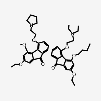 CCCCOc1cc(OCC)cc2c1-c1c(OCCN(CC)CC)cccc1C2=O.CCOc1cc(OC)c2c(c1)C(=O)c1cccc(OCCN3CCCC3)c1-2